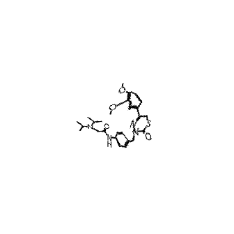 COc1ccc(C2=NN(Cc3ccc(NC(=O)CN(C(C)C)C(C)C)cc3)C(=O)SC2)cc1OC